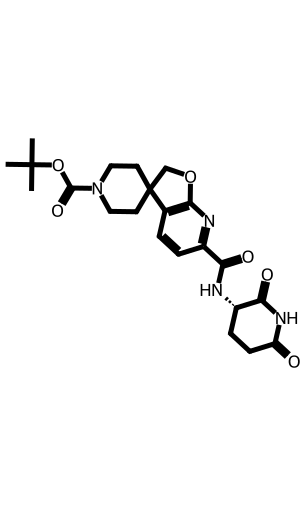 CC(C)(C)OC(=O)N1CCC2(CC1)COc1nc(C(=O)N[C@H]3CCC(=O)NC3=O)ccc12